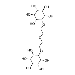 O[C@@H]1[C@@H](O)[C@H](O)[C@H](OCCOCCO[C@@H]2[C@H](O)[C@@H](O)[C@H](O)[C@@H](O)[C@@H]2O)[C@H](O)[C@H]1O